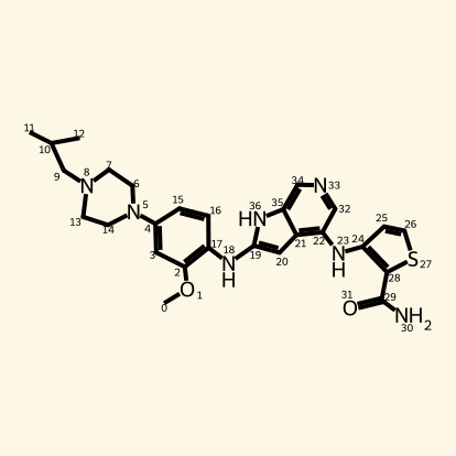 COc1cc(N2CCN(CC(C)C)CC2)ccc1Nc1cc2c(Nc3ccsc3C(N)=O)cncc2[nH]1